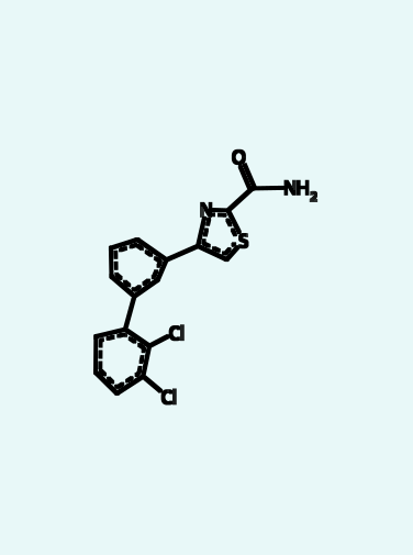 NC(=O)c1nc(-c2cccc(-c3cccc(Cl)c3Cl)c2)cs1